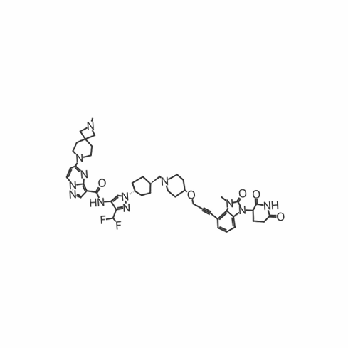 CN1CC2(CCN(c3ccn4ncc(C(=O)Nc5cn([C@H]6CC[C@H](CN7CCC(OCC#Cc8cccc9c8n(C)c(=O)n9C8CCC(=O)NC8=O)CC7)CC6)nc5C(F)F)c4n3)CC2)C1